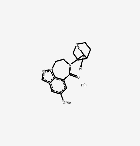 COc1cc2c3c(cnn3CCN([C@@H]3CN4CCC3CC4)C2=O)c1.Cl